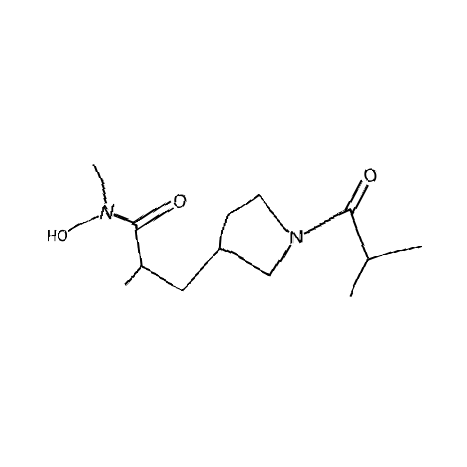 CC(C)C(=O)N1CCC(CC(C)C(=O)N(C)O)C1